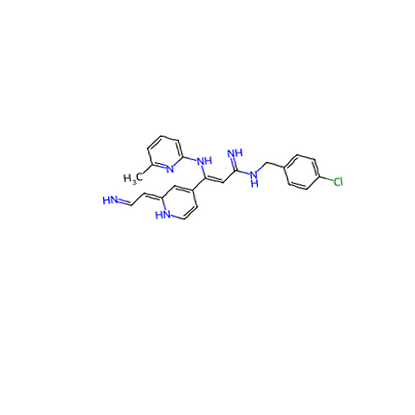 Cc1cccc(N/C(=C\C(=N)NCc2ccc(Cl)cc2)C2=C/C(=C/C=N)NC=C2)n1